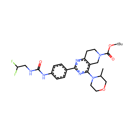 CC1COCCN1c1nc(-c2ccc(NC(=O)NCC(F)F)cc2)nc2c1CN(C(=O)OC(C)(C)C)CC2